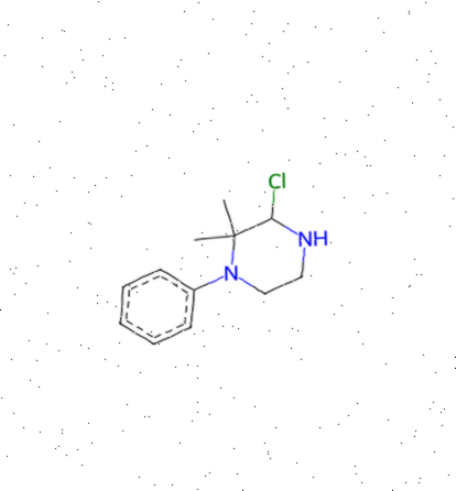 CC1(C)C(Cl)NCCN1c1ccccc1